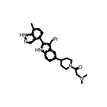 Cc1ccc(-c2[nH]c3ccc(C4CCN(C(=O)CN(C)C)CC4)cc3c2C(C)C)c2cn[nH]c12